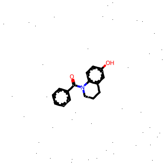 O=C(c1ccccc1)N1CCCc2cc(O)ccc21